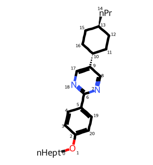 CCCCCCCOc1ccc(-c2ncc([C@H]3CC[C@H](CCC)CC3)cn2)cc1